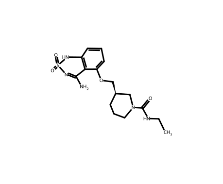 CCNC(=O)N1CCC[C@@H](COc2cccc3c2C(N)=NS(=O)(=O)N3)C1